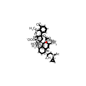 CC(=O)O[C@H]1C(C)=C[C@@H]2[C@H](C(C)CN(C(C)=O)C3CC3)CC[C@@H](C)[C@]2(O)[C@H]1[C@]1(C(=O)O)C[C@@]2(OC(=O)OC(C)(C)C)c3cccc(Cl)c3N(C)O[C@H]2[N+]1(C(=O)[O-])C(C)(C)C